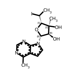 Cc1ncnc2c1ccn2[C@@H]1O[C@H](C(C)I)[C@@](C)(O)[C@H]1O